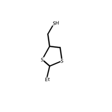 CCC1SCC(CS)S1